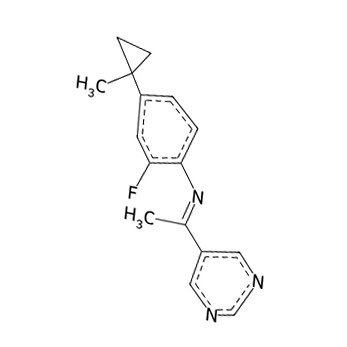 C/C(=N\c1ccc(C2(C)CC2)cc1F)c1cncnc1